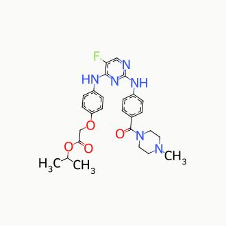 CC(C)OC(=O)COc1ccc(Nc2nc(Nc3ccc(C(=O)N4CCN(C)CC4)cc3)ncc2F)cc1